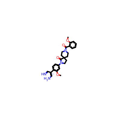 COc1ccccc1C(=O)N1CCC2(CC1)CCN(c1ccc(/C(C=N)=C/N)c(OC)c1)C2=O